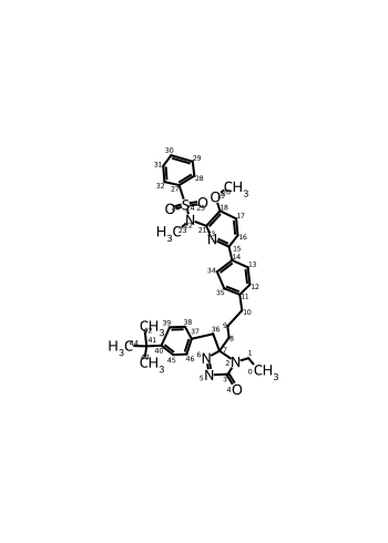 CCN1C(=O)N=NC1(CCCc1ccc(-c2ccc(OC)c(N(C)S(=O)(=O)c3ccccc3)n2)cc1)Cc1ccc(C(C)(C)C)cc1